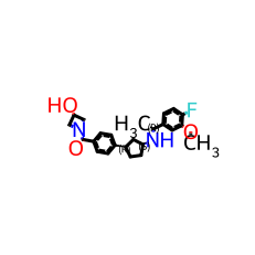 COc1cc([C@@H](C)N[C@H]2CC[C@@H](c3ccc(C(=O)N4CC(O)C4)cc3)C2)ccc1F